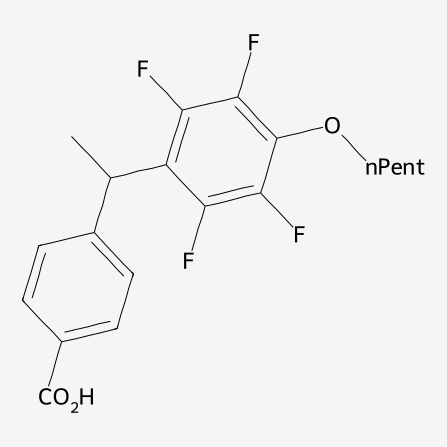 CCCCCOc1c(F)c(F)c(C(C)c2ccc(C(=O)O)cc2)c(F)c1F